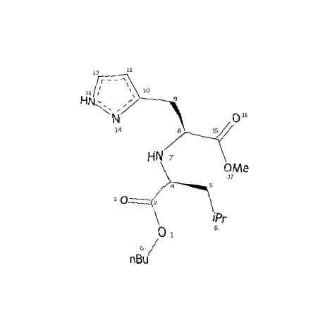 CCCCOC(=O)[C@H](CC(C)C)N[C@@H](Cc1cc[nH]n1)C(=O)OC